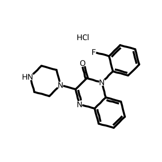 Cl.O=c1c(N2CCNCC2)nc2ccccc2n1-c1ccccc1F